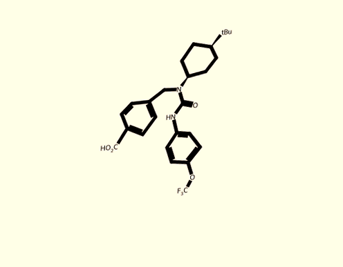 CC(C)(C)[C@H]1CC[C@@H](N(Cc2ccc(C(=O)O)cc2)C(=O)Nc2ccc(OC(F)(F)F)cc2)CC1